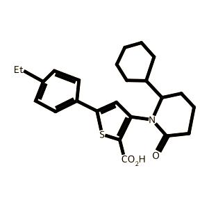 CCc1ccc(-c2cc(N3C(=O)CCCC3C3CCCCC3)c(C(=O)O)s2)cc1